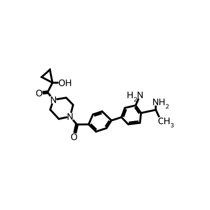 CC(N)c1ccc(-c2ccc(C(=O)N3CCN(C(=O)C4(O)CC4)CC3)cc2)cc1N